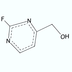 OCc1ccnc(F)n1